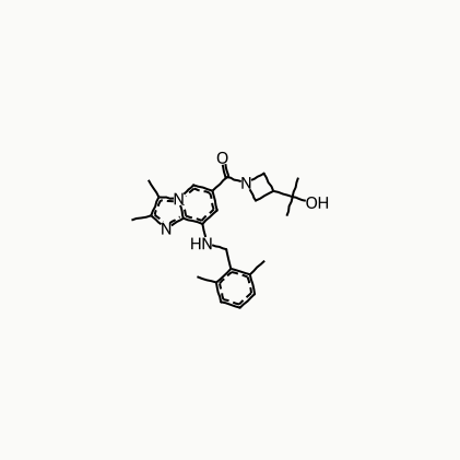 Cc1cccc(C)c1CNc1cc(C(=O)N2CC(C(C)(C)O)C2)cn2c(C)c(C)nc12